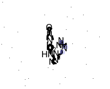 C\N=C(N)/C(C)=N\C=C\c1cn2ccnc2c(Nc2ccc(N3CCN(C4COC4)CC3)cc2)n1